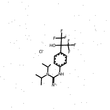 CC(C)N(C(=[N+])Nc1ccc(C(O)(C(F)(F)F)C(F)(F)F)cc1)C(C)C.[Cl-]